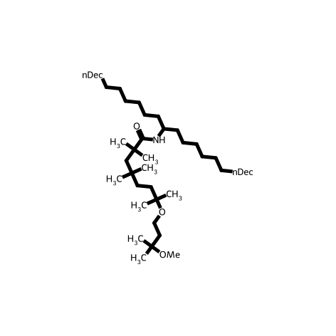 CCCCCCCCCCCCCCCCC(CCCCCCCCCCCCCCCC)NC(=O)C(C)(C)CC(C)(C)CCC(C)(C)OCCC(C)(C)OC